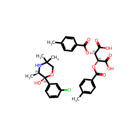 C[C@H]1NC(C)(C)CO[C@]1(O)c1cccc(Cl)c1.Cc1ccc(C(=O)O[C@H](C(=O)O)[C@H](OC(=O)c2ccc(C)cc2)C(=O)O)cc1